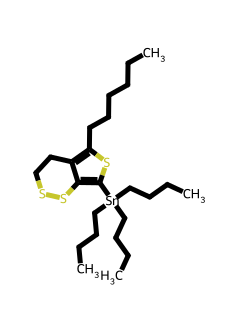 CCCCCCc1s[c]([Sn]([CH2]CCC)([CH2]CCC)[CH2]CCC)c2c1CCSS2